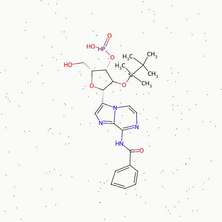 CC(C)(C)[Si](C)(C)OC1[C@@H](O[PH](=O)O)[C@@H](CO)O[C@H]1c1cnc2c(NC(=O)c3ccccc3)nccn12